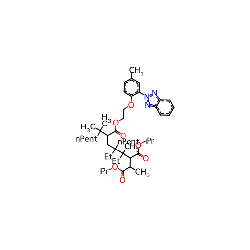 CCCCCC(C)(C)C(CC(CC)(CCCCC)C(C)(CC)C(C(=O)OC(C)C)C(C)C(=O)OC(C)C)C(=O)OCCOc1ccc(C)cc1-n1nc2ccccc2n1